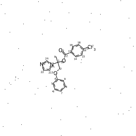 CC(COc1ccccc1)(OC(=O)c1ccc(C(F)(F)F)cc1)n1ccnc1